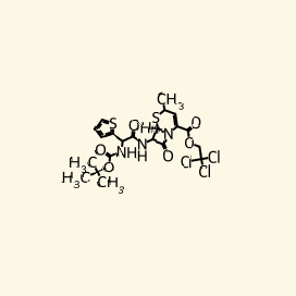 CC1C=C(C(=O)OCC(Cl)(Cl)Cl)N2C(=O)C(NC(=O)C(NC(=O)OC(C)(C)C)c3cccs3)[C@@H]2S1